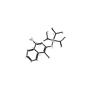 Cc1c(O[Si](C(C)C)(C(C)C)C(C)C)cc(O)c2ccccc12